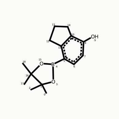 CC1(C)OB(c2ccc(O)c3c2CCC3)OC1(C)C